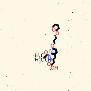 CC(C)(C)C(=O)Nc1nc(OCCCCOC2CCCCO2)ccc1CCCC(=O)O